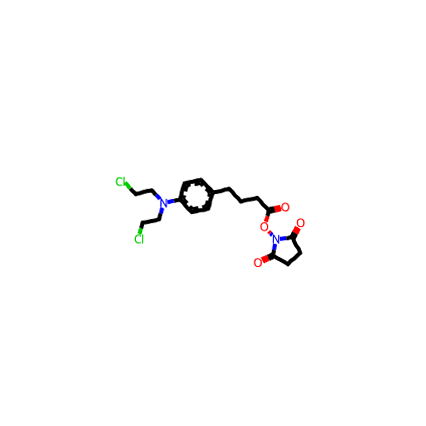 O=C(CCCc1ccc(N(CCCl)CCCl)cc1)ON1C(=O)CCC1=O